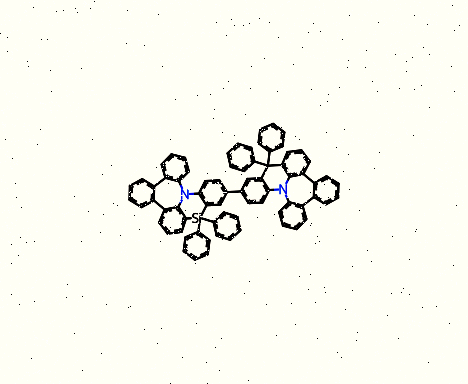 c1ccc(C2(c3ccccc3)c3cc(-c4ccc5c(c4)[Si](c4ccccc4)(c4ccccc4)c4cccc6c4N5c4ccccc4-c4ccccc4-6)ccc3N3c4ccccc4-c4ccccc4-c4cccc2c43)cc1